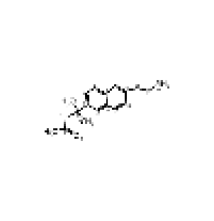 CC(=O)OC(C)(C)c1ccc2cc(CC[SiH3])ccc2c1